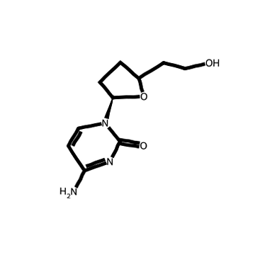 Nc1ccn([C@H]2CCC(CCO)O2)c(=O)n1